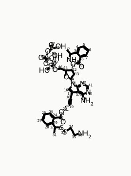 CC(N)c1ccccc1C(=O)O[C@@H]1C[C@H](n2cc(C#CCOC(=O)c3ccccc3C(C)SSCCN)c3c(N)ncnc32)OC1COP(=O)(O)OP(=O)(O)OP(=O)(O)O